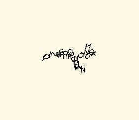 COc1cc(Cl)c(C(=O)NC(CNC2CCC(NC(=O)OC(C)(C)C)CC2)Cc2ccc(C#N)cc2)cc1-c1ccc(CNC(C)c2ccc(C)cc2)o1